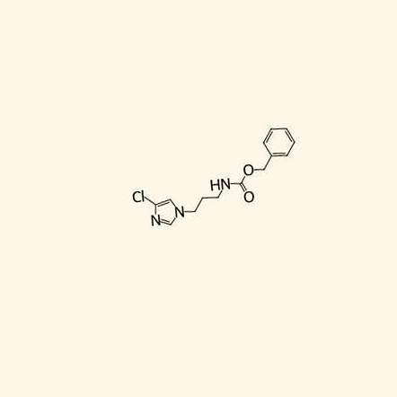 O=C(NCCCn1cnc(Cl)c1)OCc1ccccc1